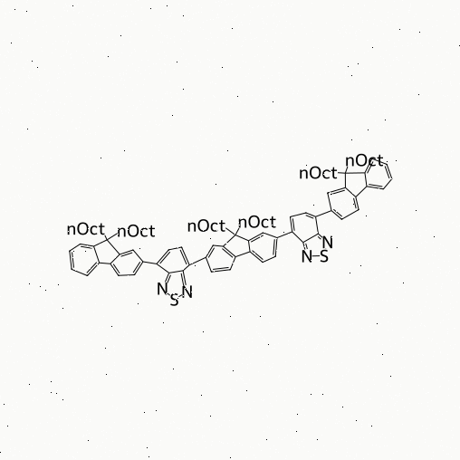 CCCCCCCCC1(CCCCCCCC)c2ccccc2-c2ccc(-c3ccc(-c4ccc5c(c4)C(CCCCCCCC)(CCCCCCCC)c4cc(-c6ccc(-c7ccc8c(c7)C(CCCCCCCC)(CCCCCCCC)c7ccccc7-8)c7nsnc67)ccc4-5)c4nsnc34)cc21